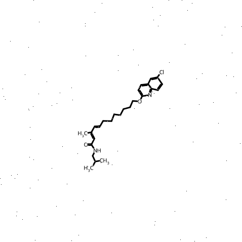 CC(C=CCCCCCCCOc1ccc2cc(Cl)ccc2n1)=CC(=O)NCC(C)C